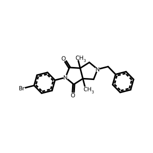 CC12CN(Cc3ccccc3)CC1(C)C(=O)N(c1ccc(Br)cc1)C2=O